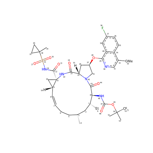 CC[C@@H]1C[C@H](C)CC/C=C\[C@@H]2C[C@@]2(C(=O)NS(=O)(=O)C2(C)CC2)NC(=O)[C@@H]2C[C@@H](Oc3ncc(OC)c4ccc(F)cc34)CN2C(=O)[C@H]1NC(=O)OC(C)(C)C(F)(F)F